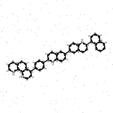 c1ccc2c(-c3ccc4cc(-c5ccc6nc(-c7ccc(-c8ccnc9c8ccc8cccnc89)cc7)ccc6c5)ccc4n3)cccc2c1